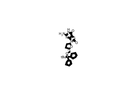 CC(C)(C)[Si](OC[C@@H]1CC[C@H](n2c(=O)sc3c(=O)[nH]c(N)nc32)O1)(c1ccccc1)c1ccccc1